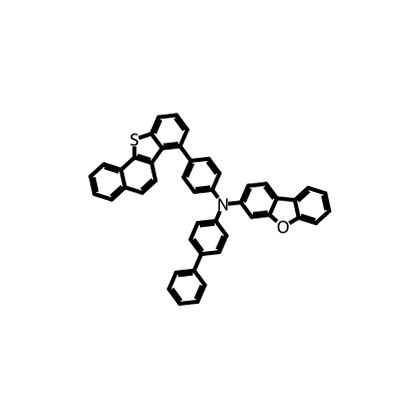 c1ccc(-c2ccc(N(c3ccc(-c4cccc5sc6c7ccccc7ccc6c45)cc3)c3ccc4c(c3)oc3ccccc34)cc2)cc1